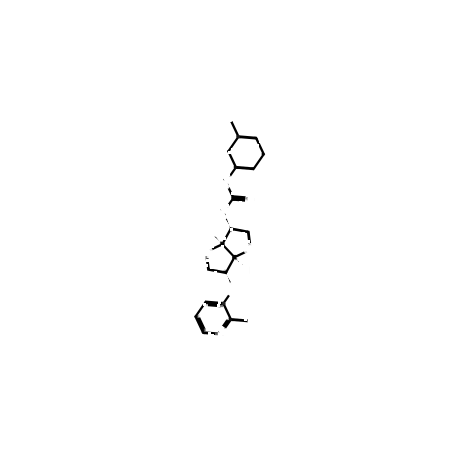 Cc1ncccc1O[C@H]1CO[C@H]2[C@@H]1OC[C@@H]2NC(=O)NC1CCCC(C)C1